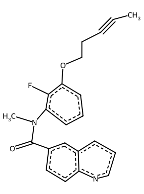 CC#CCCOc1cccc(N(C)C(=O)c2ccc3ncccc3c2)c1F